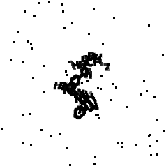 C=C(CCCC)Nc1cncc(-c2ccc3[nH]nc(-c4nc5c(N6CCCCC6)cncc5[nH]4)c3c2)c1